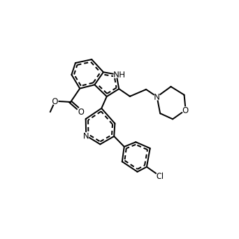 COC(=O)c1cccc2[nH]c(CCN3CCOCC3)c(-c3cncc(-c4ccc(Cl)cc4)c3)c12